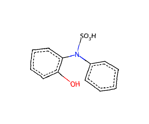 O=S(=O)(O)N(c1ccccc1)c1ccccc1O